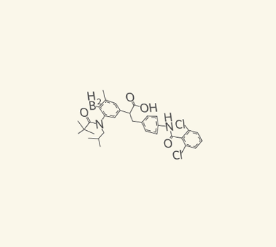 Bc1c(C)cc(C(Cc2ccc(NC(=O)c3c(Cl)cccc3Cl)cc2)C(=O)O)cc1N(CC(C)C)C(=O)C(C)(C)C